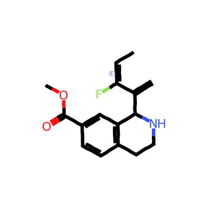 C=C(/C(F)=C\C)C1NCCc2ccc(C(=O)OC)cc21